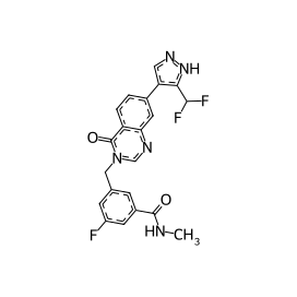 CNC(=O)c1cc(F)cc(Cn2cnc3cc(-c4cn[nH]c4C(F)F)ccc3c2=O)c1